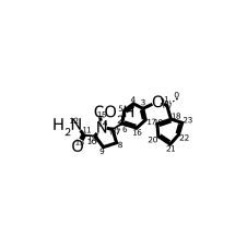 C[C@@H](Oc1ccc([C@H]2CC[C@@H](C(N)=O)N2C(=O)O)cc1)c1ccccc1